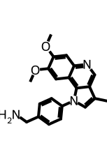 COc1cc2ncc3c(C)cn(-c4ccc(CN)cc4)c3c2cc1OC